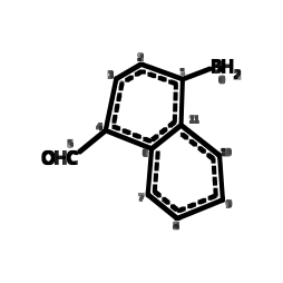 Bc1ccc(C=O)c2ccccc12